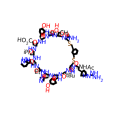 CCC[C@@H]1NC(=O)[C@H](Cc2ccc(O)cc2)NC(=O)[C@H](CCC(=O)O)NC(=O)[C@H](CC(C)C)NC(=O)[C@H](Cc2c[nH]c3ncccc23)NC(=O)[C@H](CC)NC(=O)[C@H](Cc2cnc[nH]2)NC(=O)[C@H](Cc2ccc(O)cc2)NC(=O)C(C(C)(C)C)NC(=O)[C@@H](NC(=O)[C@H](Cc2ccc(NC(=N)N)cc2)NC(C)=O)CSCc2cccc(c2)CSC[C@@H](C(N)=O)NC(=O)[C@H]([C@@H](C)O)NC1=O